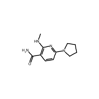 CNc1nc(N2CCCC2)ccc1C(N)=O